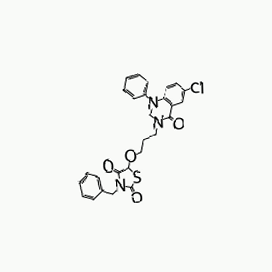 O=C1c2cc(Cl)ccc2N(c2ccccc2)CN1CCCOC1SC(=O)N(Cc2ccccc2)C1=O